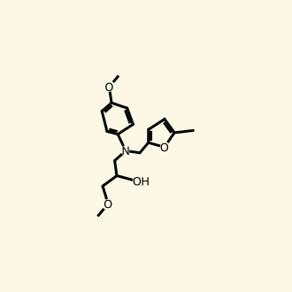 COCC(O)CN(Cc1ccc(C)o1)c1ccc(OC)cc1